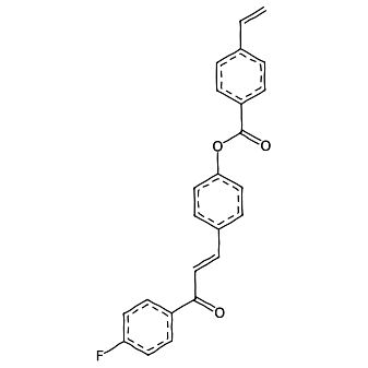 C=Cc1ccc(C(=O)Oc2ccc(C=CC(=O)c3ccc(F)cc3)cc2)cc1